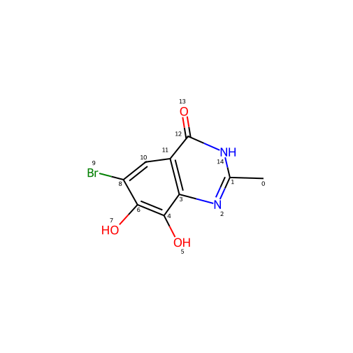 Cc1nc2c(O)c(O)c(Br)cc2c(=O)[nH]1